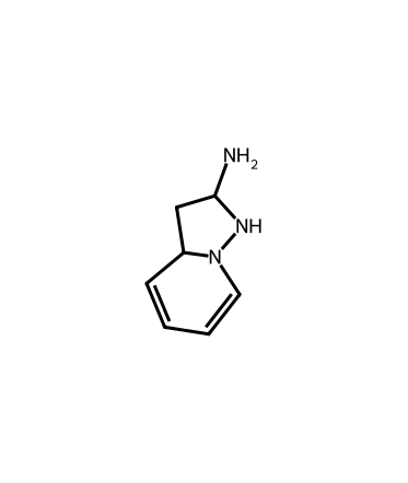 NC1CC2C=CC=CN2N1